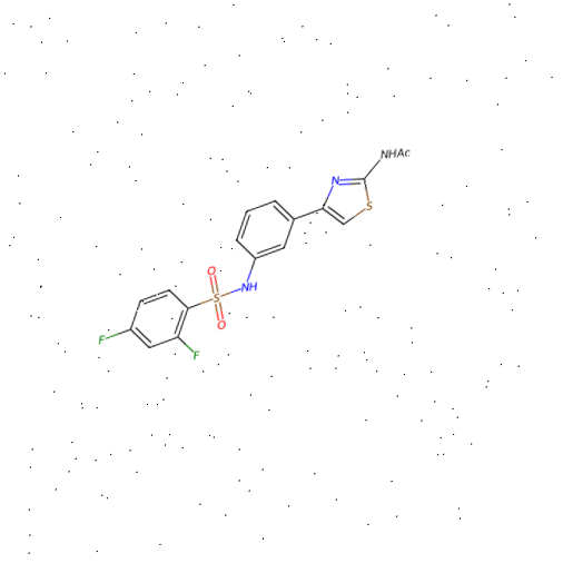 CC(=O)Nc1nc(-c2cccc(NS(=O)(=O)c3ccc(F)cc3F)c2)cs1